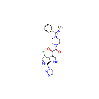 N#C/N=C(\c1ccccc1)N1CCN(C(=O)C(=O)c2c[nH]c3c(-n4ccnn4)ncc(F)c23)CC1